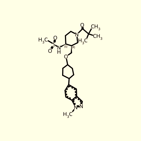 Cn1ncc2cc(C3CCC(OC[C@@H]4CN(C(=O)C(C)(C)C)CC[C@@H]4NS(C)(=O)=O)CC3)ccc21